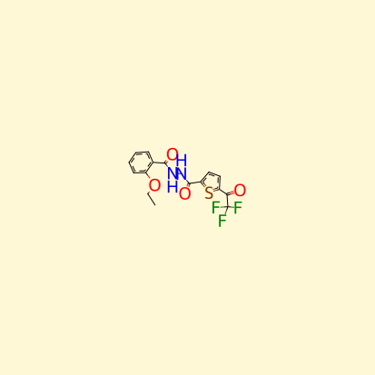 CCOc1ccccc1C(=O)NNC(=O)c1ccc(C(=O)C(F)(F)F)s1